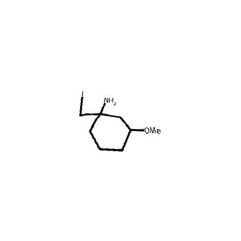 COC1CCCC(N)(CI)C1